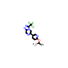 CC(C)C(Oc1ccc(-c2cn3c(C(F)(F)Cl)nnc3cn2)cn1)C(F)(F)F